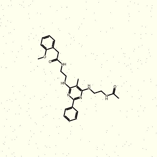 COc1ccccc1CC(=O)NCCNc1nc(-c2ccccc2)nc(NCCNC(C)=O)c1C